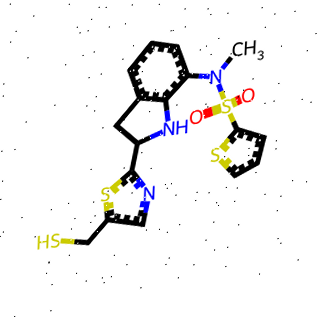 CN(c1cccc2c1NC(c1ncc(CS)s1)C2)S(=O)(=O)c1cccs1